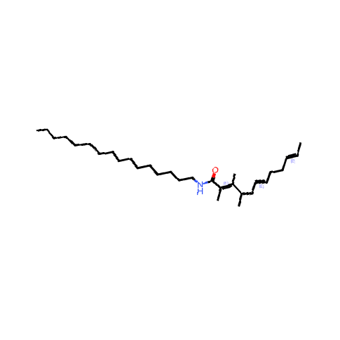 C/C=C/CC/C=C/CC(C)/C(C)=C(\C)C(=O)NCCCCCCCCCCCCCCCC